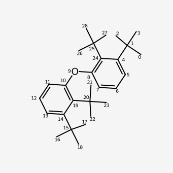 CC(C)(C)c1cccc(Oc2cccc(C(C)(C)C)c2C(C)(C)C)c1C(C)(C)C